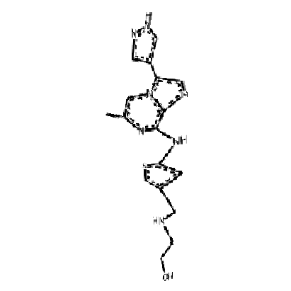 Cc1cn2c(-c3cn[nH]c3)cnc2c(Nc2cc(CNCCO)cs2)n1